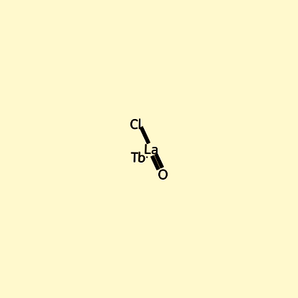 [O]=[La][Cl].[Tb]